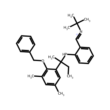 CCC(C)(Pc1ccccc1/C=N/C(C)(C)C)c1cc(C)cc(C)c1OCc1ccccc1